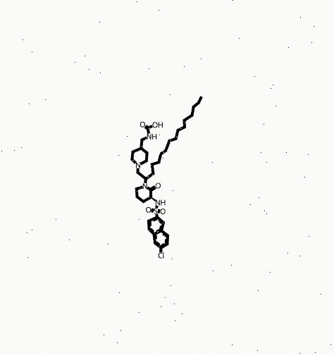 CCCCCCCCCCCCCCC(CN1CCC(CNC(=O)O)CC1)N1CCC[C@H](NS(=O)(=O)c2ccc3cc(Cl)ccc3c2)C1=O